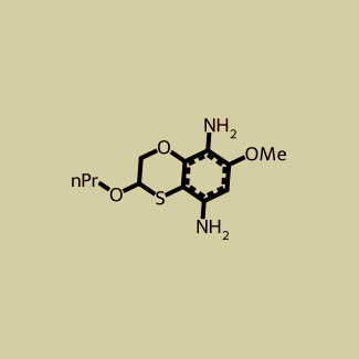 CCCOC1COc2c(N)c(OC)cc(N)c2S1